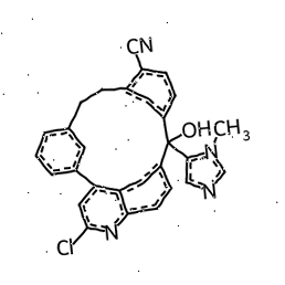 Cn1cncc1C1(O)c2ccc(C#N)c(c2)CCc2cccc(c2)-c2cc(Cl)nc3ccc1cc23